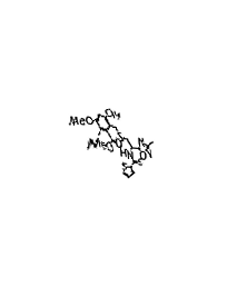 COC(=O)c1c(C)c(OC)cc(O)c1CSCC(NC(=S)c1cccs1)c1nc(C)no1